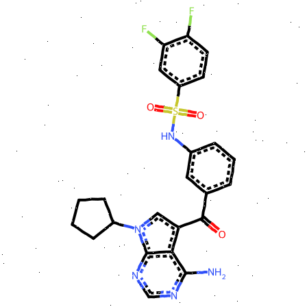 Nc1ncnc2c1c(C(=O)c1cccc(NS(=O)(=O)c3ccc(F)c(F)c3)c1)cn2C1CCCC1